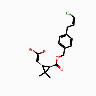 CC1(C)[C@H](C(=O)OCc2ccc(C/C=C\Cl)cc2)[C@@H]1C=C(Br)Br